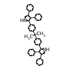 CC(C)(c1ccc(-c2[nH]cc(-c3ccccc3)c2-c2ccccc2)cc1)c1ccc(-c2[nH]cc(-c3ccccc3)c2-c2ccccc2)cc1